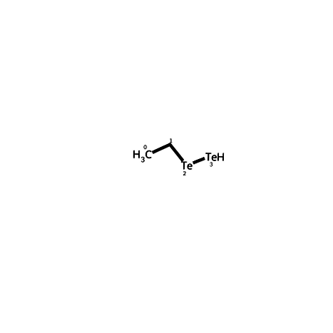 CC[Te][TeH]